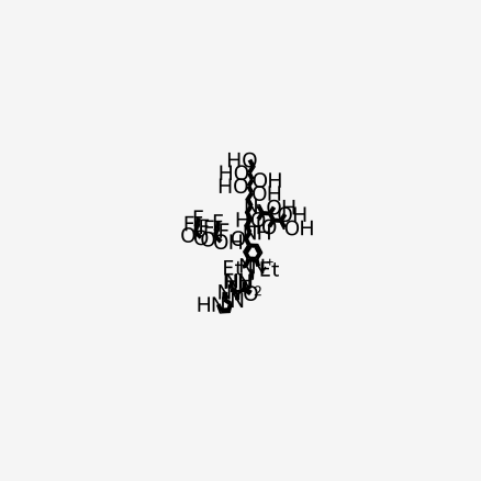 CCn1c(CNC(=O)c2nc3cc[nH]c3nc2N)[n+](CC)c2ccc(C(=O)NCCCN(CC(O)C(O)C(O)C(O)CO)CC(O)C(O)C(O)C(O)CO)cc21.O=C(O)C(F)(F)F.O=C([O-])C(F)(F)F